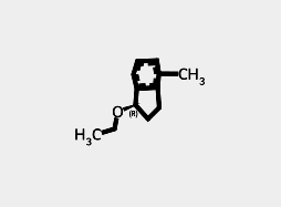 CCO[C@@H]1CCc2c(C)cccc21